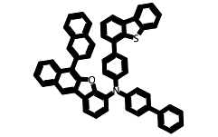 c1ccc(-c2ccc(N(c3ccc(-c4cccc5c4sc4ccccc45)cc3)c3cccc4c3oc3c(-c5ccc6ccccc6c5)c5ccccc5cc34)cc2)cc1